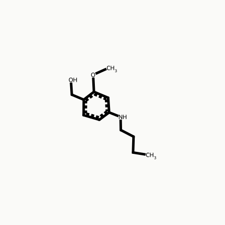 CCCCNc1ccc(CO)c(OC)c1